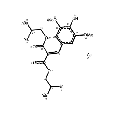 CCCCC(CC)COC(=O)C(=Cc1cc(OC)c(O)c(OC)c1)C(=O)OCC(CC)CCCC.[Au]